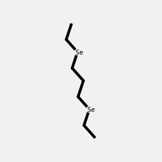 CC[Se]CCC[Se]CC